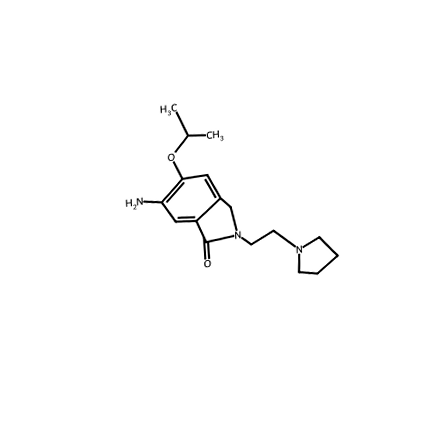 CC(C)Oc1cc2c(cc1N)C(=O)N(CCN1CCCC1)C2